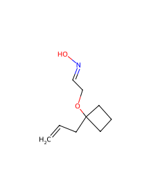 C=CCC1(OCC=NO)CCC1